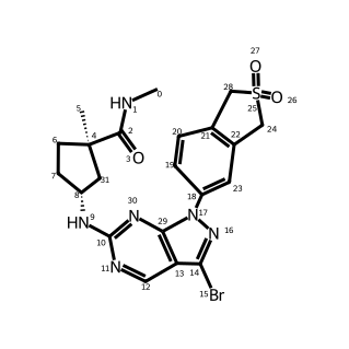 CNC(=O)[C@]1(C)CC[C@@H](Nc2ncc3c(Br)nn(-c4ccc5c(c4)CS(=O)(=O)C5)c3n2)C1